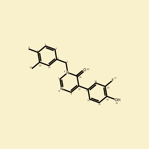 Cc1ccc(Cn2cncc(-c3ccc(O)c(F)c3)c2=O)cc1C